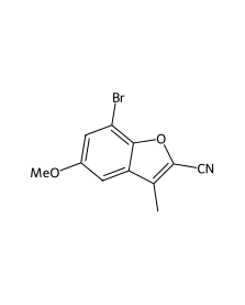 COc1cc(Br)c2oc(C#N)c(C)c2c1